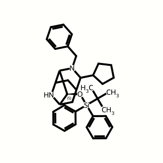 CC(C)(C)[Si](O[C@H]1C2CC3CC(N2)C1N(Cc1ccccc1)C3C1CCCC1)(c1ccccc1)c1ccccc1